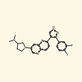 CN(C)C1CCN(c2cnc3ccc(-c4c[nH]nc4-c4ccc(F)c(F)c4)nc3c2)C1